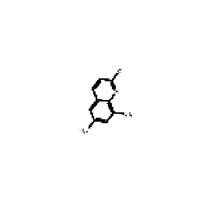 Cc1cc(C)c2nc(Cl)ccc2c1